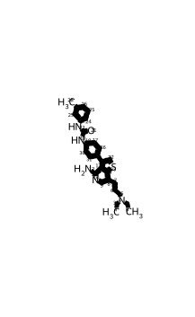 CCN(CC)C/C=C/c1cnc(N)c2c(-c3ccc(NC(=O)Nc4cccc(C)c4)cc3)csc12